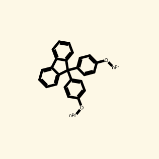 CCCOc1ccc(C2(c3ccc(OCCC)cc3)c3ccccc3-c3ccccc32)cc1